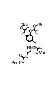 CCCC(C)OC(=O)OCCN[C@@H](Cc1ccc(OC(=O)OC(C)(C)C)c(OC(=O)OC(C)(C)C)c1)C(=O)OC